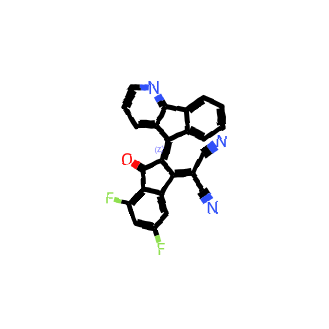 N#CC(C#N)=C1/C(=C2\c3ccccc3-c3ncccc32)C(=O)c2c(F)cc(F)cc21